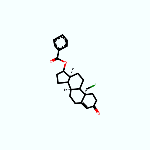 C[C@]12CCC3[C@@H](CCC4=CC(=O)CC[C@@]43CF)C1CCC2OC(=O)c1ccccc1